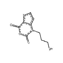 CC(C)CCCn1c(=O)oc(=O)c2sccc21